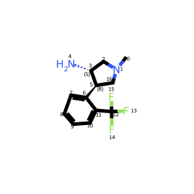 CN1C[C@@H](N)[C@H](c2ccccc2C(F)(F)F)C1